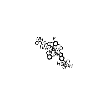 Cc1ccc(CO[C@H](C)[C@H](CCC(N)=O)NC(=O)[C@@H]2Cc3cccc4c3N2C(=O)[C@@H](NC(=O)c2cc3cc(C(=O)P(=O)(O)O)ccc3[nH]2)CC4)c(F)c1